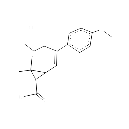 CCCC(=CC1C(C(=O)O)C1(C)C)c1ccc(OC)cc1.Cl